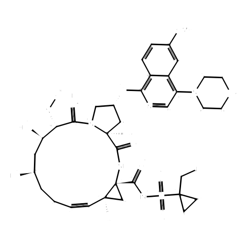 COc1ccc2c(O[C@@H]3C[C@H]4C(=O)N[C@]5(C(=O)NS(=O)(=O)C6(CF)CC6)C[C@H]5C=CCC[C@@H](C)C[C@@H](C)[C@H](NC(=O)O)C(=O)N4C3)ncc(N3CCOCC3)c2c1